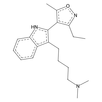 CCc1noc(C)c1-c1[nH]c2ccccc2c1CCCCN(C)C